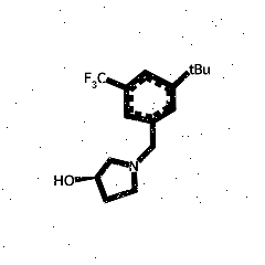 CC(C)(C)c1cc(CN2CC[C@@H](O)C2)cc(C(F)(F)F)c1